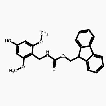 COc1cc(O)cc(OC)c1CNC(=O)OCC1c2ccccc2-c2ccccc21